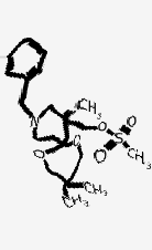 CC1(C)COC2(CN(Cc3ccccc3)CC2(C)COS(C)(=O)=O)OC1